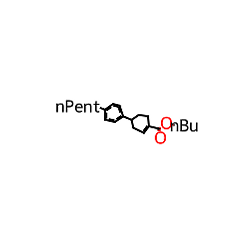 CCCCCc1ccc(C2CC=C(C(=O)OCCCC)CC2)cc1